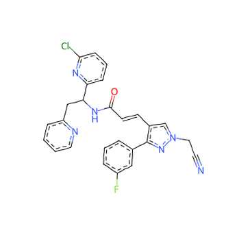 N#CCn1cc(C=CC(=O)NC(Cc2ccccn2)c2cccc(Cl)n2)c(-c2cccc(F)c2)n1